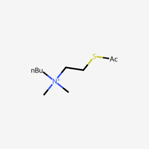 CCCC[N+](C)(C)CCSC(C)=O